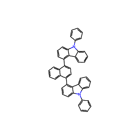 c1ccc(-n2c3ccccc3c3c(-c4ccc(-c5cccc6c5c5ccccc5n6-c5ccccc5)c5ccccc45)cccc32)cc1